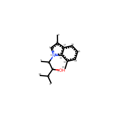 Cc1cn(C(C)C(O)C(C)C)c2c(C)cccc12